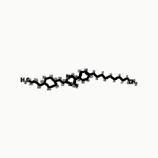 CCCCCCCCCCc1ccc(-c2cnc(CCC3CCC(CCCC)CC3)nc2F)cc1